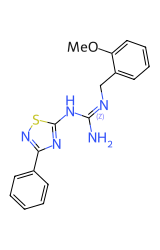 COc1ccccc1C/N=C(/N)Nc1nc(-c2ccccc2)ns1